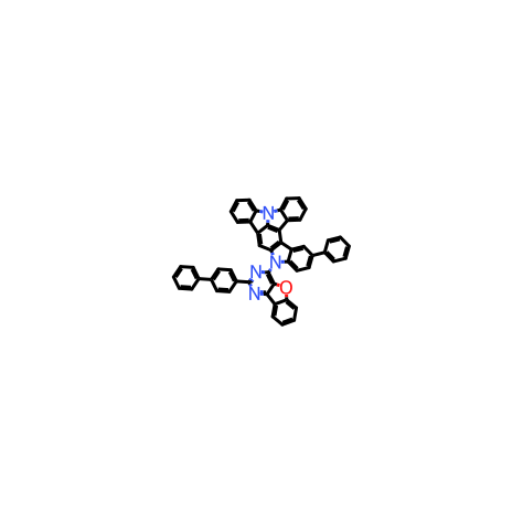 c1ccc(-c2ccc(-c3nc(-n4c5ccc(-c6ccccc6)cc5c5c6c7ccccc7n7c8ccccc8c(cc54)c67)c4oc5ccccc5c4n3)cc2)cc1